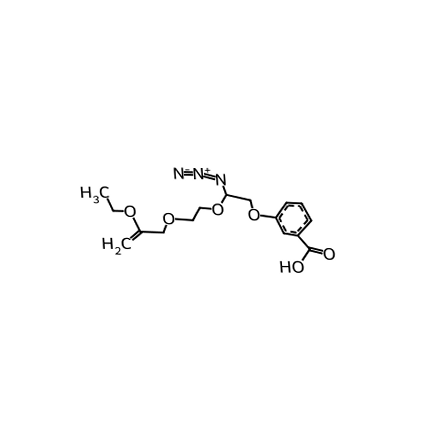 C=C(COCCOC(COc1cccc(C(=O)O)c1)N=[N+]=[N-])OCC